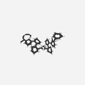 C=C1/C=C\C=C/COc2c1cccc2-c1ccccc1-c1ccccc1-c1nnc(-c2ccccc2-c2ccccc2-c2cccc3c2oc2ccccc23)o1